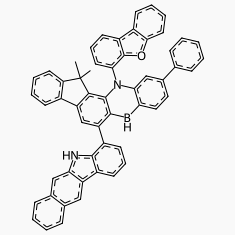 CC1(C)c2ccccc2-c2cc(-c3cccc4c3[nH]c3cc5ccccc5cc34)c3c(c21)N(c1cccc2c1oc1ccccc12)c1cc(-c2ccccc2)ccc1B3